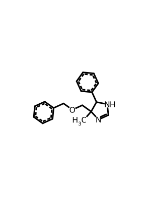 CC1(COCc2ccccc2)N=CNC1c1ccccc1